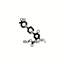 CC1(O)CCN(C2CCN(c3cc(NC(=O)OC(C)(C)C)c(N)cc3Cl)CC2)CC1